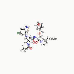 COC[C@H]1CCCN(C(=O)C(NC(=O)[C@H]2CN(c3cc(F)cc4ncsc34)CC23CN(C(=O)[C@H]2CC2(C)C)C3)[C@@H](C)OCC23CCC(CC2)OC3)C1